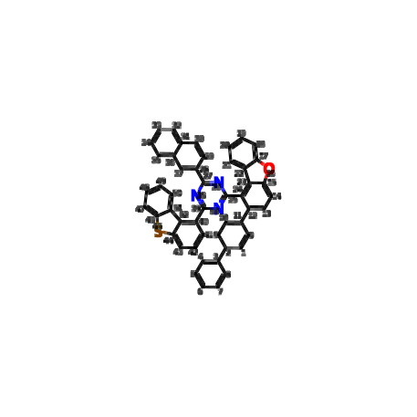 C1=CC(c2ccccc2)CC=C1c1ccc2oc3ccccc3c2c1-c1nc(-c2ccc3ccccc3c2)nc(-c2cccc3sc4ccccc4c23)n1